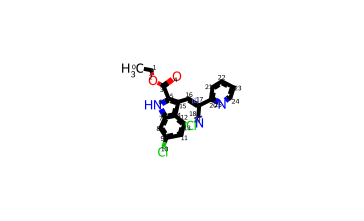 CCOC(=O)c1[nH]c2cc(Cl)cc(Cl)c2c1/C=C(\C#N)c1ccccn1